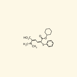 CN(C)C(=CC=C(Sc1ccccc1)C(=O)OC1CCCCC1)C(=O)O